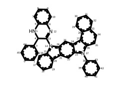 c1ccc(C2Nc3ccccc3N=C2n2c3ccccc3c3cc4c(cc32)c2c3ccccc3ccc2n4-c2ccccc2)cc1